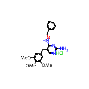 COc1cc(Cc2cnc(N)nc2NOCc2ccccc2)cc(OC)c1OC.Cl